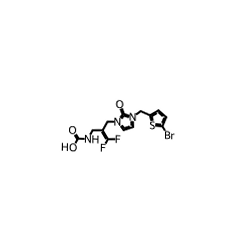 O=C(O)NCC(Cn1ccn(Cc2ccc(Br)s2)c1=O)=C(F)F